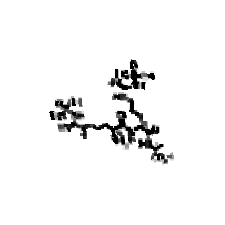 C[C@H](NC(=O)[C@H](CCCNC(=N)NP(=O)(O)O)NC(=O)[C@@H](N)CCCNC(=N)NP(=O)(O)O)C(=O)O